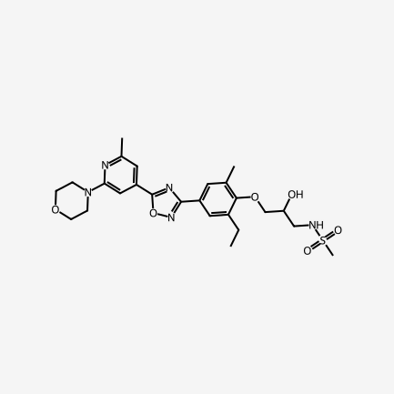 CCc1cc(-c2noc(-c3cc(C)nc(N4CCOCC4)c3)n2)cc(C)c1OCC(O)CNS(C)(=O)=O